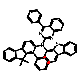 CC1(C)c2ccccc2-c2ccc(N(c3nc(-c4ccccc4)c4ccccc4n3)c3cccc4c3sc3ccccc34)c(-c3ccccc3)c21